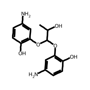 CC(O)C(Oc1cc(N)ccc1O)Oc1cc(N)ccc1O